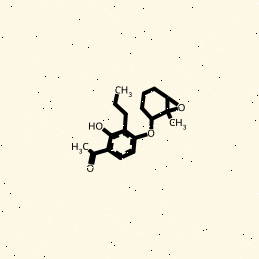 CCCc1c(OC2CCCC3OC23C)ccc(C(C)=O)c1O